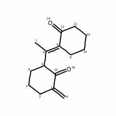 C=C1CCCC(/C(C)=C2\CCCCC2=O)C1=O